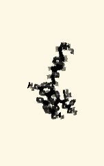 CC(=O)NC(OC(C)=O)C(OCCOCCOCCN)OC(COC(C)=O)C(C)OC(C)=O